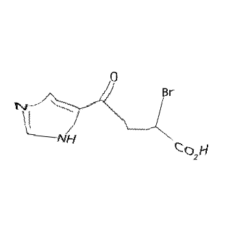 O=C(CC(Br)C(=O)O)c1cnc[nH]1